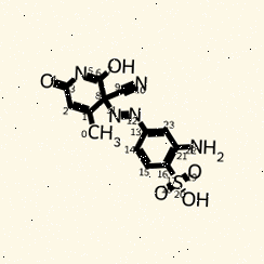 CC1=CC(=O)N=C(O)C1(C#N)N=Nc1ccc(S(=O)(=O)O)c(N)c1